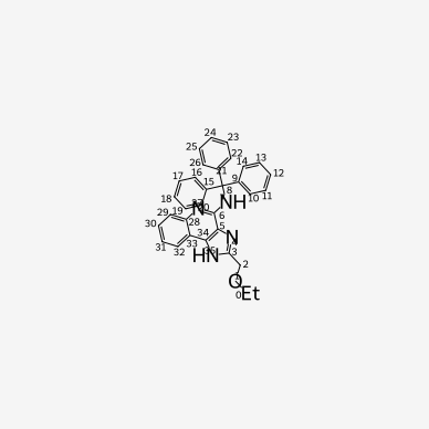 CCOCc1nc2c(NC(c3ccccc3)(c3ccccc3)c3ccccc3)nc3ccccc3c2[nH]1